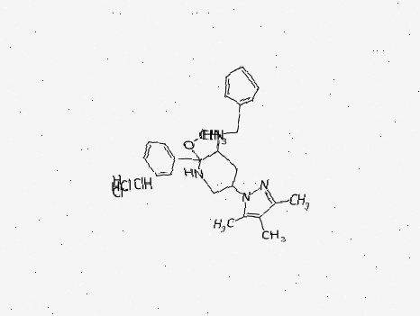 COC1(c2ccccc2)NCC(n2nc(C)c(C)c2C)CC1NCc1ccccc1.Cl.Cl.Cl